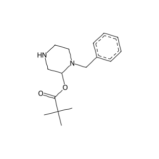 CC(C)(C)C(=O)OC1CNCCN1Cc1ccccc1